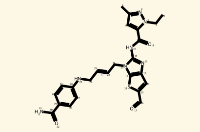 CCn1nc(C)cc1C(=O)Nc1nc2cc(C=O)sc2n1C/C=C/CNc1ccc(C(N)=O)cc1